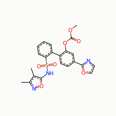 COC(=O)Oc1cc(-c2ncco2)ccc1-c1ccccc1S(=O)(=O)Nc1onc(C)c1C